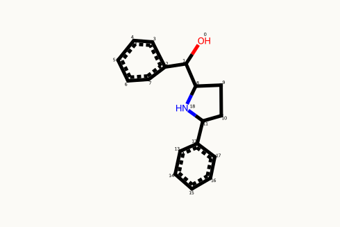 OC(c1ccccc1)C1CCC(c2ccccc2)N1